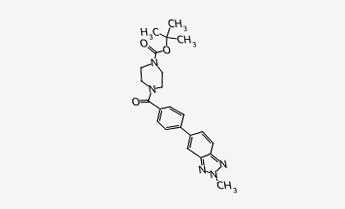 Cn1nc2ccc(-c3ccc(C(=O)N4CCN(C(=O)OC(C)(C)C)CC4)cc3)cc2n1